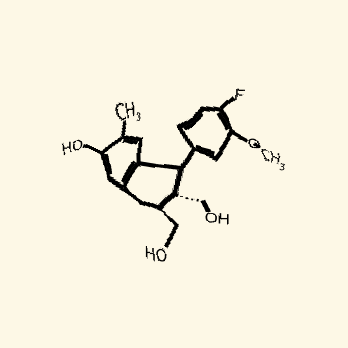 COc1cc(C2c3cc(C)c(O)cc3C[C@H](CO)[C@H]2CO)ccc1F